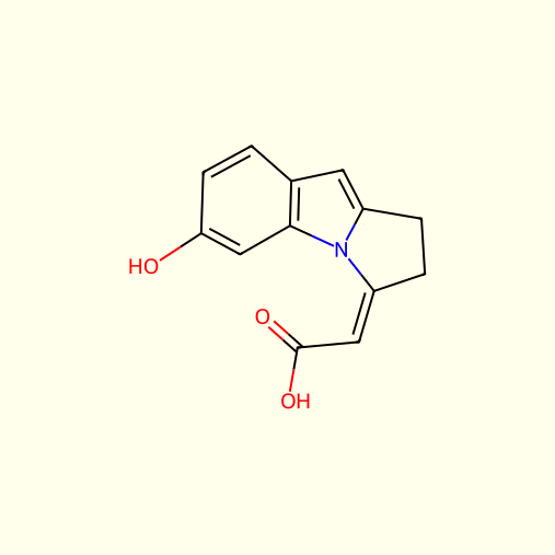 O=C(O)C=C1CCc2cc3ccc(O)cc3n21